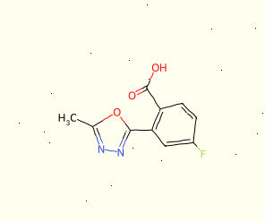 Cc1nnc(-c2cc(F)ccc2C(=O)O)o1